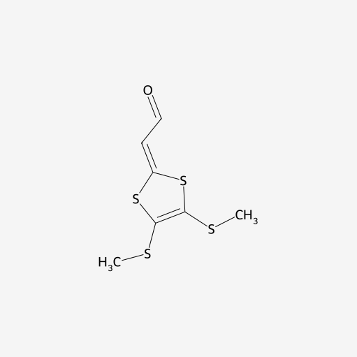 CSC1=C(SC)SC(=CC=O)S1